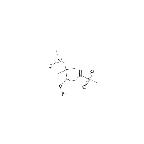 CC(C)OC(CNS(C)(=O)=O)C(C)(C)C[S@@+](C)[O-]